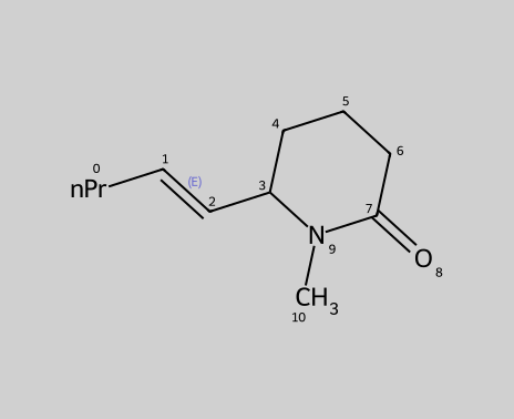 CCC/C=C/C1CCCC(=O)N1C